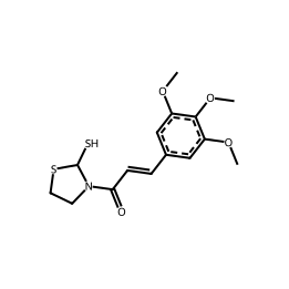 COc1cc(C=CC(=O)N2CCSC2S)cc(OC)c1OC